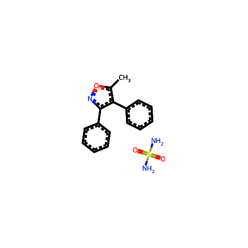 Cc1onc(-c2ccccc2)c1-c1ccccc1.NS(N)(=O)=O